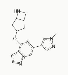 Cn1cc(-c2cn3nccc3c(OC3CC4CNC4C3)n2)cn1